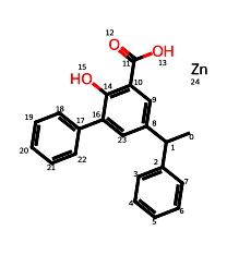 CC(c1ccccc1)c1cc(C(=O)O)c(O)c(-c2ccccc2)c1.[Zn]